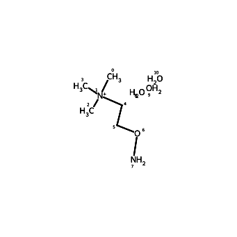 C[N+](C)(C)CCON.O.O.O